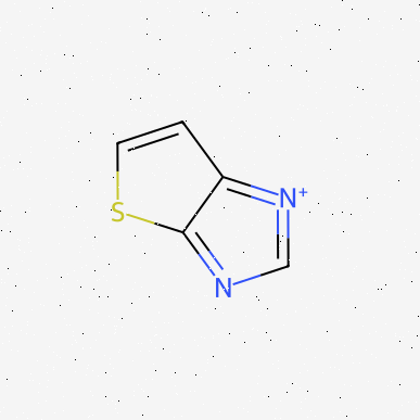 C1=[N+]=c2ccsc2=N1